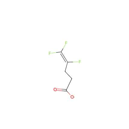 [O]C(=O)CCC(F)=C(F)F